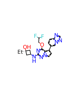 CC[C@]1(O)C[C@@H](Nc2nc(OCC(F)F)c3c(-c4ccc5ncnn5c4)ccn3n2)C1